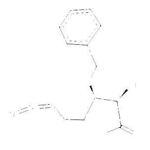 C[C@H](N=[N+]=[N-])[C@H]1OC(=O)[C@H](O)[C@@H]1OCc1ccccc1